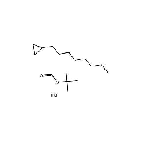 CC(C)(C)OC=O.CCCCCCCCC1CC1.Cl